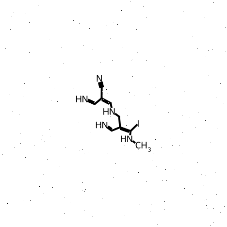 CN/C(I)=C(\C=N)CN/C=C(/C#N)C=N